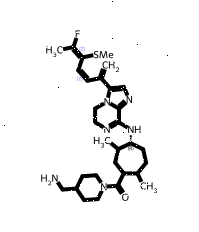 C=C(/C=C\C(SC)=C(/C)F)c1cnc2n1CCN=C2N[C@@H]1CCC(C)C(C(=O)N2CCC(CN)CC2)CC1C